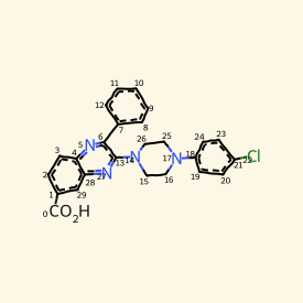 O=C(O)c1ccc2nc(-c3ccccc3)c(N3CCN(c4ccc(Cl)cc4)CC3)nc2c1